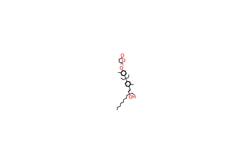 CCCCCCCCC(O)(C=Cc1ccc(C(CC)(CC)c2ccc(OC[C@@H]3CCC(=O)O3)c(C)c2)cc1C)CC